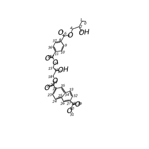 CCC(O)COC(=O)c1ccc(C(=O)OCC(O)COC(=O)c2ccc3cc(C(=O)OC)ccc3c2)cc1